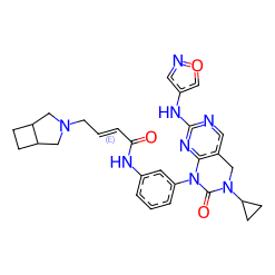 O=C(/C=C/CN1CC2CCC2C1)Nc1cccc(N2C(=O)N(C3CC3)Cc3cnc(Nc4cnoc4)nc32)c1